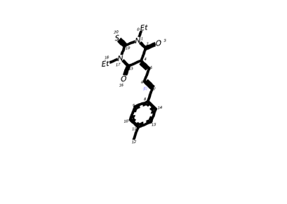 CCN1C(=O)C(=C/C=C/c2ccc(C)cc2)C(=O)N(CC)C1=S